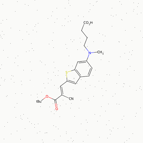 CN(CCCC(=O)O)c1ccc2cc(/C=C(\C#N)C(=O)OC(C)(C)C)sc2c1